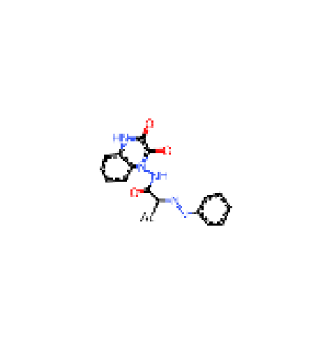 CC(=O)C(N=Nc1ccccc1)C(=O)Nn1c(=O)c(=O)[nH]c2ccccc21